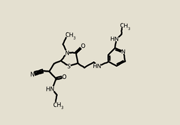 CCNC(=O)C(C#N)CC1SC(CCNc2ccnc(NCC)c2)C(=O)N1CC